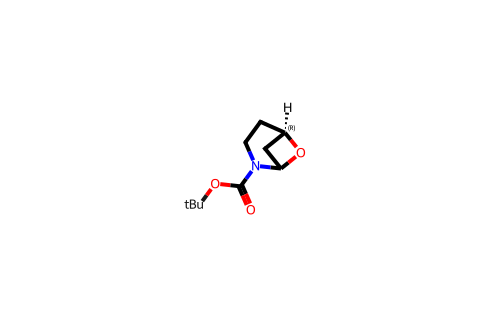 CC(C)(C)OC(=O)N1CC[C@@H]2CC1O2